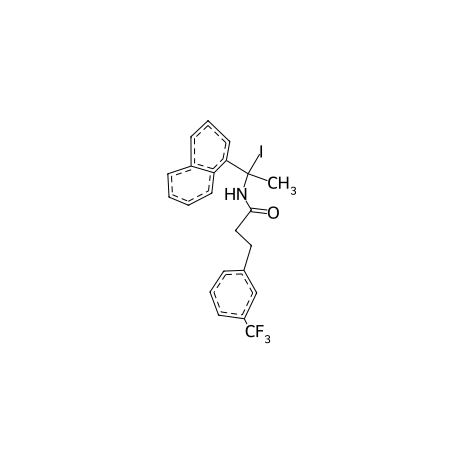 CC(I)(NC(=O)CCc1cccc(C(F)(F)F)c1)c1cccc2ccccc12